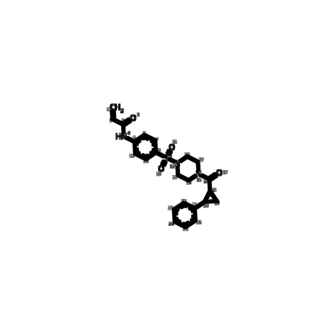 C=CC(=O)Nc1ccc(S(=O)(=O)N2CCN(C(=O)C3CC3c3ccccc3)CC2)cc1